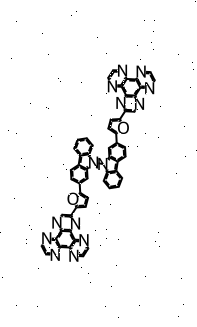 c1ccc2c(c1)c1ccc(-c3ccc(-c4cnc5c6nccnc6c6nccnc6c5n4)o3)cc1n2-n1c2ccccc2c2ccc(-c3ccc(-c4cnc5c6nccnc6c6nccnc6c5n4)o3)cc21